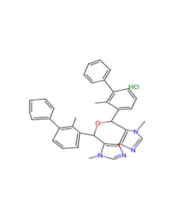 Cc1c(-c2ccccc2)cccc1C(OC(c1cccc(-c2ccccc2)c1C)c1cncn1C)c1cncn1C.Cl